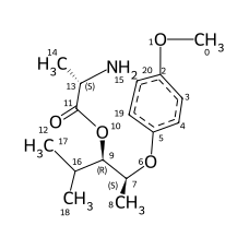 COc1ccc(O[C@@H](C)[C@H](OC(=O)[C@H](C)N)C(C)C)cc1